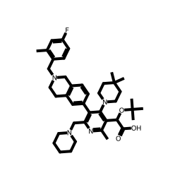 Cc1cc(F)ccc1CN1CCc2cc(-c3c(CN4CCCCC4)nc(C)c(C(OC(C)(C)C)C(=O)O)c3N3CCC(C)(C)CC3)ccc2C1